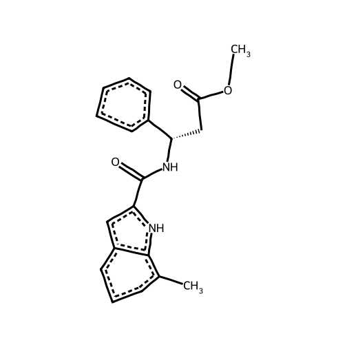 COC(=O)C[C@H](NC(=O)c1cc2cccc(C)c2[nH]1)c1ccccc1